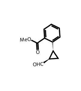 COC(=O)c1ccccc1[C@@H]1C[C@H]1C=O